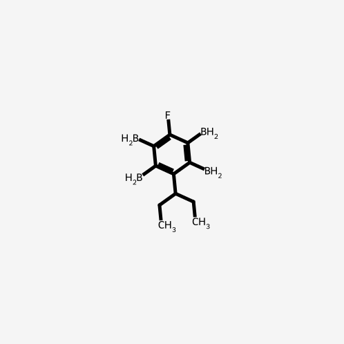 Bc1c(B)c(C(CC)CC)c(B)c(B)c1F